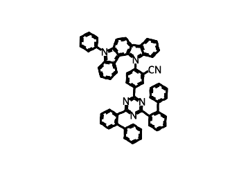 N#Cc1cc(-c2nc(-c3ccccc3-c3ccccc3)nc(-c3ccccc3-c3ccccc3)n2)ccc1-n1c2ccccc2c2ccc3c(c4ccccc4n3-c3ccccc3)c21